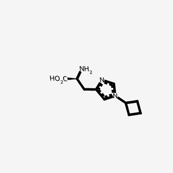 N[C@@H](Cc1cn(C2CCC2)cn1)C(=O)O